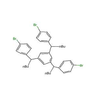 CCCCC(c1ccc(Br)cc1)c1cc(C(CCCC)c2ccc(Br)cc2)cc(C(CCCC)c2ccc(Br)cc2)c1